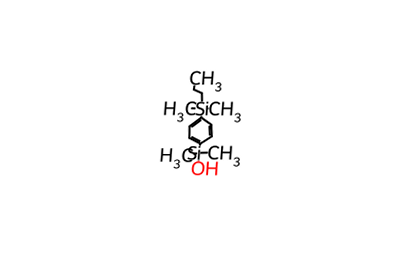 CCC[Si](C)(C)c1ccc([Si](C)(C)O)cc1